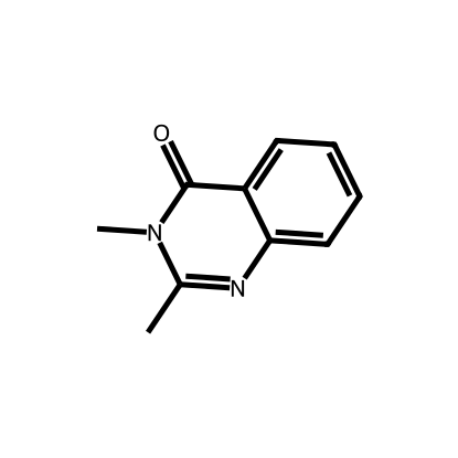 Cc1nc2ccccc2c(=O)n1C